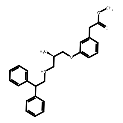 COC(=O)Cc1cccc(OC[C@H](C)CNCC(c2ccccc2)c2ccccc2)c1